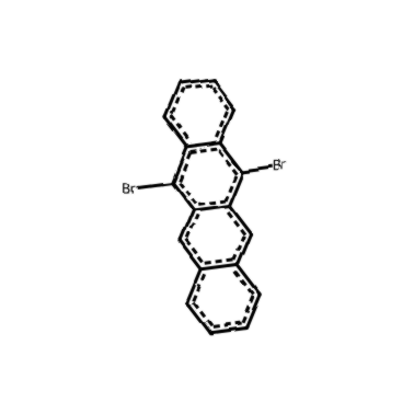 Brc1c2ccccc2c(Br)c2cc3ccccc3cc12